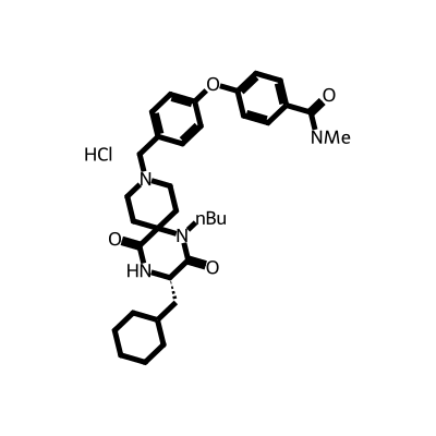 CCCCN1C(=O)[C@H](CC2CCCCC2)NC(=O)C12CCN(Cc1ccc(Oc3ccc(C(=O)NC)cc3)cc1)CC2.Cl